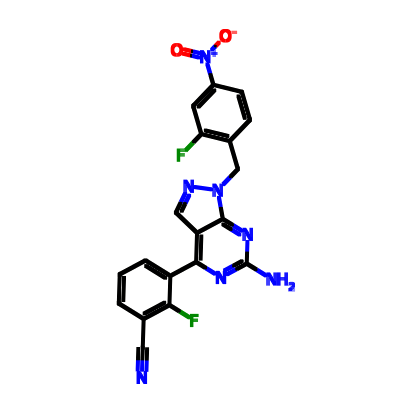 N#Cc1cccc(-c2nc(N)nc3c2cnn3Cc2ccc([N+](=O)[O-])cc2F)c1F